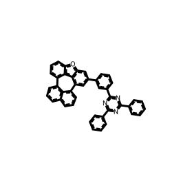 c1ccc(-c2nc(-c3ccccc3)nc(-c3cccc(-c4cc5c6c(c4)oc4cccc(c46)-c4cccc6cccc-5c46)c3)n2)cc1